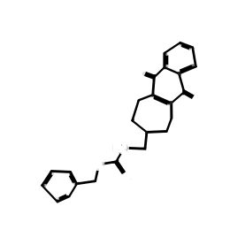 O=C(NCC1CCC2=C(CC1)C(=O)c1ccccc1C2=O)OCc1ccccc1